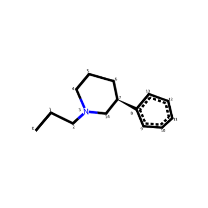 CCCN1CCC[C@@H](c2ccccc2)C1